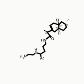 CC(=O)C(CCCNC(=O)[C@@H](C)C1=CC[C@@H]2C[C@H](C)CC[C@@H]2C1)NCCN